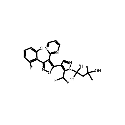 [2H]C([2H])(CC(C)(C)O)n1ncc(-c2onc(-c3c(F)cccc3Cl)c2-c2ncccn2)c1C(F)F